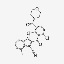 Cc1cccc2[nH]c(C(=O)c3c(Cl)ccc(C(=O)N4CCOCC4)c3Cl)c(C#N)c12